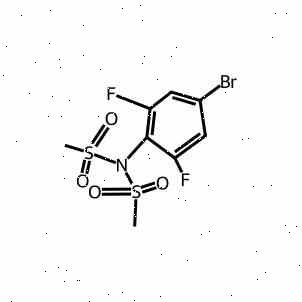 CS(=O)(=O)N(c1c(F)cc(Br)cc1F)S(C)(=O)=O